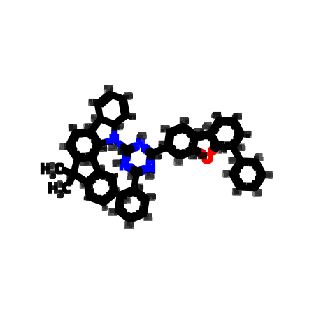 CC1(C)c2ccccc2-c2c1ccc1c2N(c2nc(-c3ccccc3)nc(-c3ccc4c(c3)oc3c(-c5ccccc5)cccc34)n2)C2C=CC=CC12